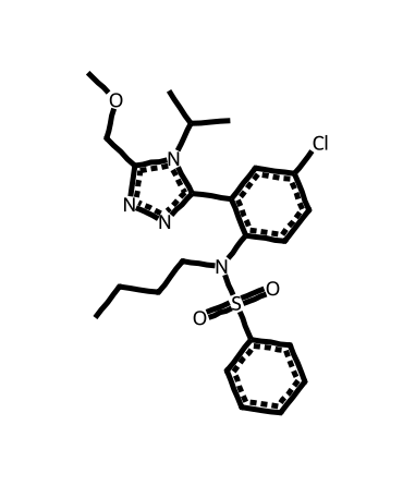 CCCCN(c1ccc(Cl)cc1-c1nnc(COC)n1C(C)C)S(=O)(=O)c1ccccc1